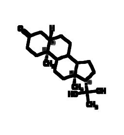 CC(O)(O)[C@H]1CCC2C3CC[C@H]4CC(=O)CC[C@]4(C)C3CC[C@@]21C